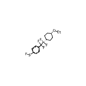 CCO[C@H]1CC[C@H](C(F)(F)C(F)(F)c2ccc(SF)cc2)CC1